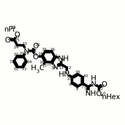 CCCCCCOC(=O)NC(=N)c1ccc(NCc2nc3c(C)c(OC(=O)N(CCC(=O)OCCC)c4ccccc4)ccc3[nH]2)cc1